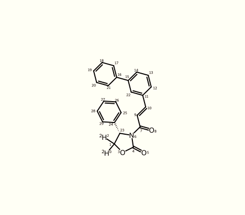 [2H]C1([2H])OC(=O)N(C(=O)/C=C/c2cccc(-c3ccccc3)c2)[C@H]1c1ccccc1